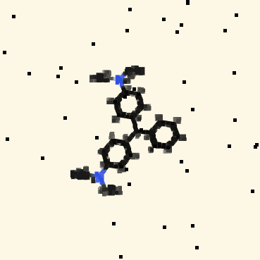 CCCCN(CCCC)c1ccc(C(c2ccccc2)c2ccc(N(CCCC)CCCC)cc2)cc1